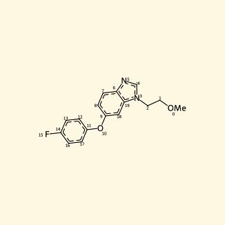 COCCn1[c]nc2ccc(Oc3ccc(F)cc3)cc21